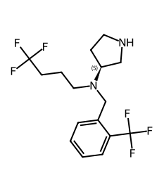 FC(F)(F)CCCN(Cc1ccccc1C(F)(F)F)[C@H]1CCNC1